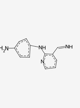 N=Cc1cccnc1Nc1ccc(N)cc1